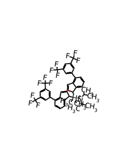 CC(C)[Si](C(C)C)=[Hf]([CH3])([CH3])([CH]1C=Cc2c(-c3cc(C(F)(F)F)cc(C(F)(F)F)c3)cccc21)[CH]1C=Cc2c(-c3cc(C(F)(F)F)cc(C(F)(F)F)c3)cccc21